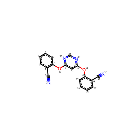 N#Cc1ccccc1Oc1cc(Oc2ccccc2C#N)ncn1